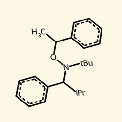 CC(ON(C(c1ccccc1)C(C)C)C(C)(C)C)c1ccccc1